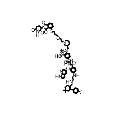 CC1(C)CCC(CNCCNc2ccc(C(=O)NS(=O)(=O)c3ccc(NCC4CCCN(CCOCCCSc5cccc6c5C(=O)N(C5CCC(=O)NC5=O)C6=O)C4)c(N(O)O)c3)c(Oc3cnc4[nH]ccc4c3)c2)=C(c2ccc(Cl)cc2)C1